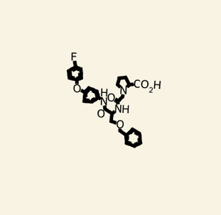 O=C(CN1CCCC1C(=O)O)NC(COCc1ccccc1)C(=O)Nc1ccc(Oc2ccc(F)cc2)cc1